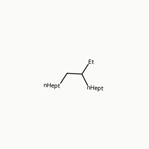 [CH2]CCCCCCCC(CC)CCCCCC[CH2]